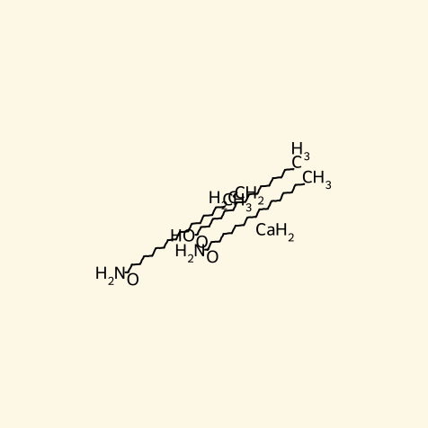 C=C.CCCCCCCCCCCCCCCCCC(=O)O.CCCCCCCCCCCCCCCCCC(N)=O.CCCCCCCCCCCCCCCCCC(N)=O.[CaH2]